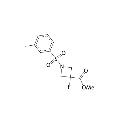 COC(=O)C1(F)CN(S(=O)(=O)c2cccc(C)c2)C1